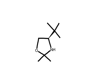 CC1(C)N[C@H](C(C)(C)C)CO1